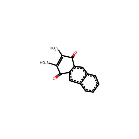 O=C1C(S(=O)(=O)O)=C(S(=O)(=O)O)C(=O)c2cc3ccccc3cc21